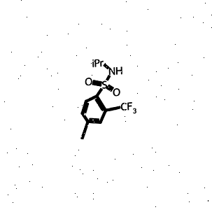 Cc1ccc(S(=O)(=O)NC(C)C)c(C(F)(F)F)c1